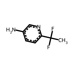 CC(F)(F)c1ccc(N)cn1